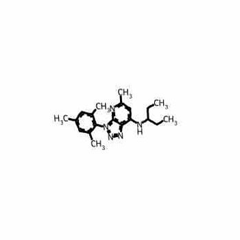 CCC(CC)Nc1cc(C)nc2c1nnn2-c1c(C)cc(C)cc1C